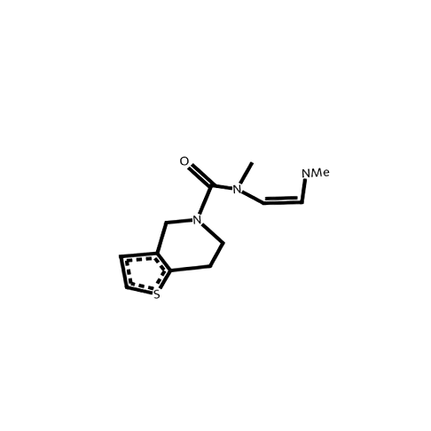 CN/C=C\N(C)C(=O)N1CCc2sccc2C1